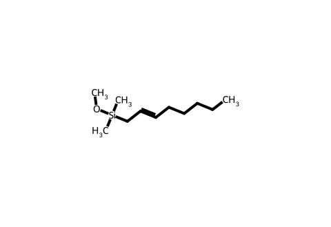 CCCCCC=CC[Si](C)(C)OC